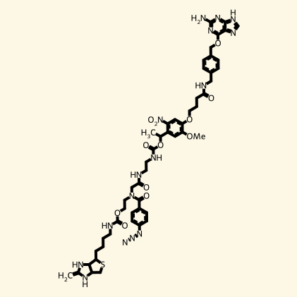 C=C1NC2CSC(CCCCNC(=O)OCCN(CC(=O)NCCNC(=O)OC(C)c3cc(OC)c(OCCCC(=O)NCc4ccc(COc5nc(N)nc6[nH]cnc56)cc4)cc3[N+](=O)[O-])C(=O)c3ccc(N=[N+]=[N-])cc3)C2N1